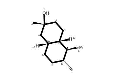 CCC[C@@H]1[C@H]2CC[C@@](C)(O)C[C@H]2CC[C@H]1C